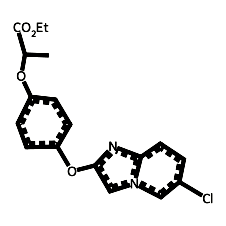 CCOC(=O)C(C)Oc1ccc(Oc2cn3cc(Cl)ccc3n2)cc1